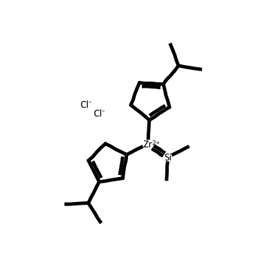 CC(C)C1=CC[C]([Zr+2]([C]2=CC(C(C)C)=CC2)=[Si](C)C)=C1.[Cl-].[Cl-]